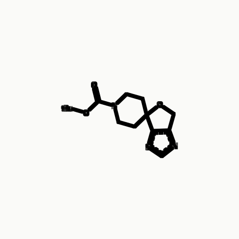 CC(C)(C)OC(=O)N1CCC2(CC1)OCc1ncsc12